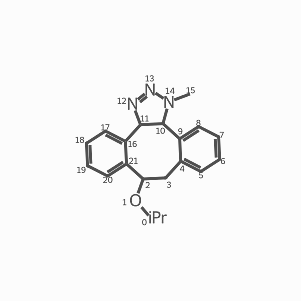 CC(C)OC1Cc2ccccc2C2C(N=NN2C)c2ccccc21